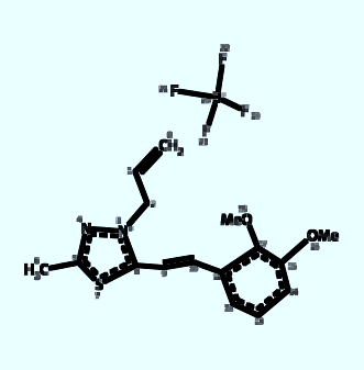 C=CC[n+]1nc(C)sc1/C=C/c1cccc(OC)c1OC.F[B-](F)(F)F